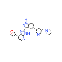 c1cc(-c2ccoc2)c2nc(-c3n[nH]c4ccc(-c5cncc(CN6CCCC6)c5)cc34)[nH]c2n1